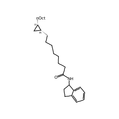 CCCCCCCC[C@H]1C[C@H]1CCCCCCCC(=O)NC1CCc2ccccc21